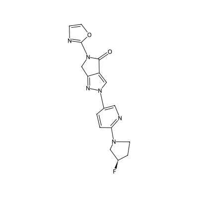 O=C1c2cn(-c3ccc(N4CC[C@@H](F)C4)nc3)nc2CN1c1ncco1